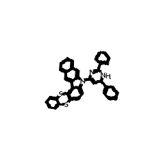 C1=C(n2c3cc4ccccc4cc3c3c4c(ccc32)Sc2ccccc2S4)N=C(c2ccccc2)NC1c1ccccc1